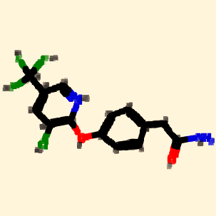 NC(=O)[CH]c1ccc(Oc2ncc(C(F)(F)F)cc2Cl)cc1